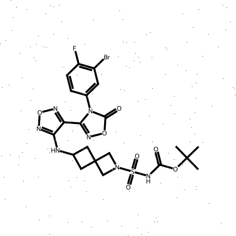 CC(C)(C)OC(=O)NS(=O)(=O)N1CC2(CC(Nc3nonc3-c3noc(=O)n3-c3ccc(F)c(Br)c3)C2)C1